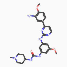 COc1cc(NC(=O)NC2CCN(C)CC2)cc(Nc2nccc(-c3ccc(OC)c(N)c3)n2)c1